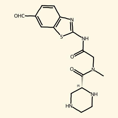 CN(CC(=O)Nc1nc2ccc(C=O)cc2s1)C(=O)[C@H]1CNCCN1